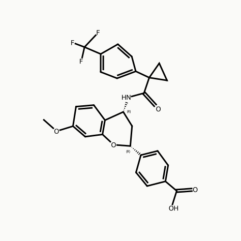 COc1ccc2c(c1)O[C@@H](c1ccc(C(=O)O)cc1)C[C@H]2NC(=O)C1(c2ccc(C(F)(F)F)cc2)CC1